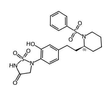 O=C1CN(c2ccc(CC[C@@H]3CCCCN3S(=O)(=O)c3ccccc3)cc2O)S(=O)(=O)N1